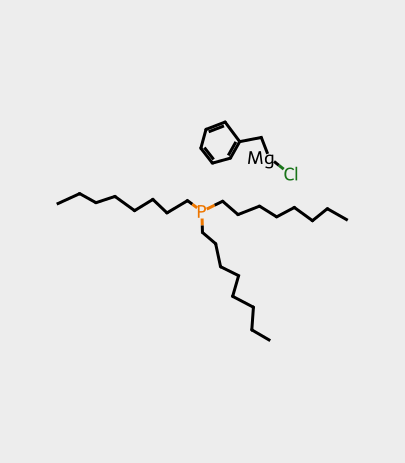 CCCCCCCCP(CCCCCCCC)CCCCCCCC.[Cl][Mg][CH2]c1ccccc1